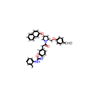 Cc1ccccc1Nc1nc2ccc(CC(=O)N3C[C@@H](Oc4ccc5ccccc5c4)C[C@H]3COc3ccc(C=O)cc3)cc2o1